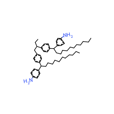 CCCCCCCCCCCC(c1ccc(N)cc1)c1ccc(CC(CC)c2ccc(C(CCCCCCCCCCC)c3ccc(N)cc3)cc2)cc1